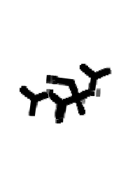 CC(C)N[C@@](C)(CO)C(=O)OC(C)C